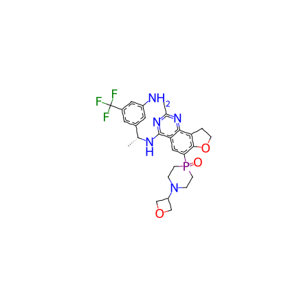 Cc1nc(N[C@H](C)c2cc(N)cc(C(F)(F)F)c2)c2cc(P3(=O)CCN(C4COC4)CC3)c3c(c2n1)CCO3